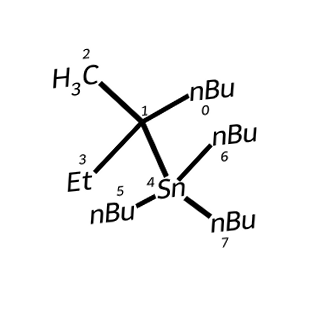 CC[CH]C[C](C)(CC)[Sn]([CH2]CCC)([CH2]CCC)[CH2]CCC